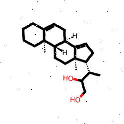 CC(C(O)CO)[C@H]1CC=C2[C@@H]3CC=C4CCCC[C@]4(C)[C@H]3CC[C@@]21C